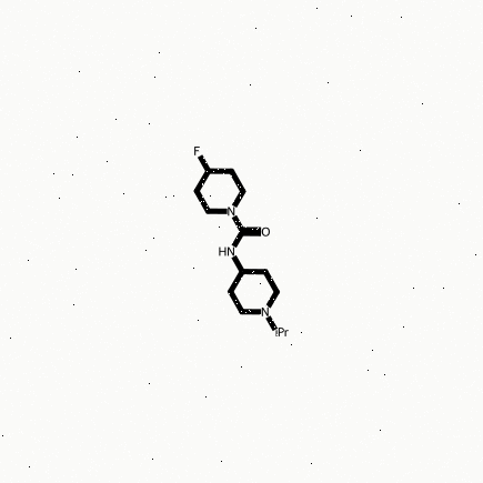 CC(C)N1CCC(NC(=O)N2CCC(F)CC2)CC1